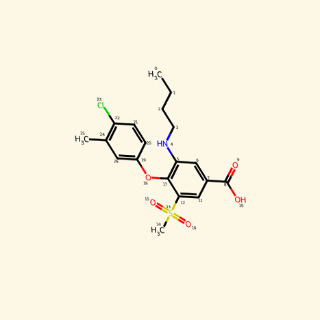 CCCCNc1cc(C(=O)O)cc(S(C)(=O)=O)c1Oc1ccc(Cl)c(C)c1